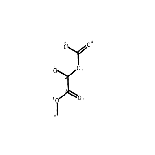 COC(=O)C(Cl)OC(=O)Cl